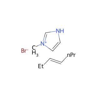 CCC=CCCC.C[n+]1cc[nH]c1.[Br-]